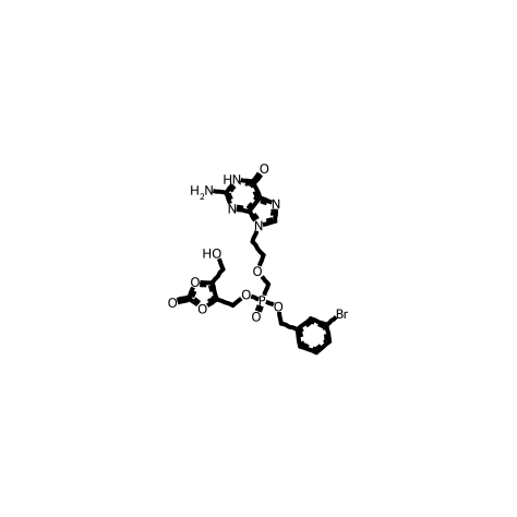 Nc1nc2c(ncn2CCOCP(=O)(OCc2cccc(Br)c2)OCc2oc(=O)oc2CO)c(=O)[nH]1